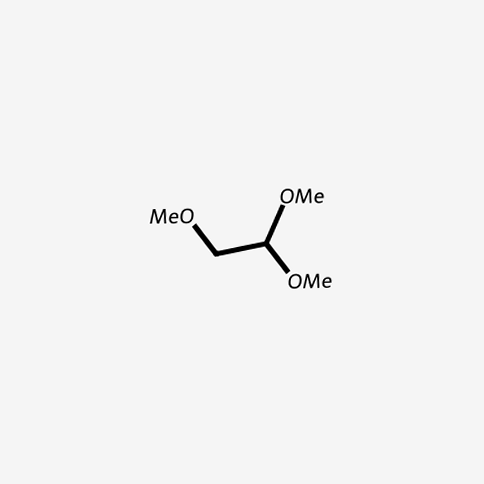 [CH2]OC(COC)OC